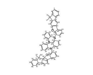 CC1(C)c2ccccc2-c2cc3c(cc21)oc1c(N2c4ccccc4B4c5ccccc5N(c5cccc6c5oc5c7c(ccc56)-c5ccccc5C7(C)C)c5cccc2c54)cccc13